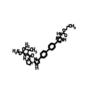 CCCOC(=O)Nc1nc(-c2ccc(-c3ccc(-c4c[nH]c([C@@H]5CCCN5C(=O)[C@@H](NC(=O)OC)C(C)C)n4)cc3)cc2)c[nH]1